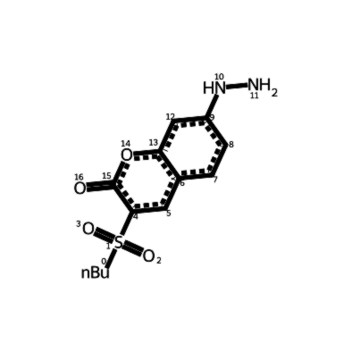 CCCCS(=O)(=O)c1cc2ccc(NN)cc2oc1=O